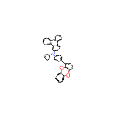 c1ccc(N(c2ccc(-c3cccc4c3Oc3ccccc3O4)cc2)c2ccc3c4ccccc4c4ccccc4c3c2)cc1